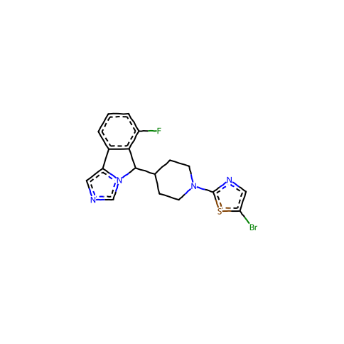 Fc1cccc2c1C(C1CCN(c3ncc(Br)s3)CC1)n1cncc1-2